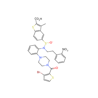 Cc1c(C(=O)O)sc2ccc([S+]([O-])N(CCc3ccccc3[N+](=O)[O-])c3ccccc3N3CCN(C(=O)c4sccc4Br)CC3)cc12